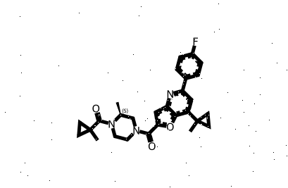 C[C@H]1CN(C(=O)c2cc3nc(-c4ccc(F)cc4)cc(C4(C)CC4)c3o2)CCN1C(=O)C1(C)CC1